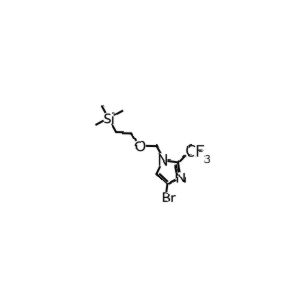 C[Si](C)(C)CCOCn1cc(Br)nc1C(F)(F)F